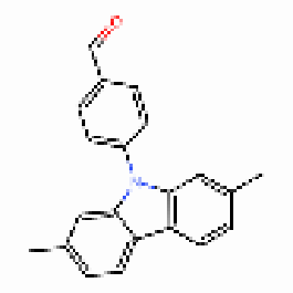 Cc1ccc2c3ccc(C)cc3n(-c3ccc(C=O)cc3)c2c1